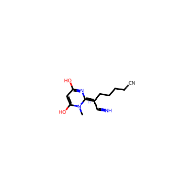 CN1C(O)=CC(O)=N/C1=C(/C=N)CCCCC#N